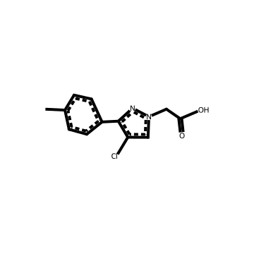 Cc1ccc(-c2nn(CC(=O)O)cc2Cl)cc1